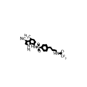 Cc1ccc(NS(=O)(=O)c2ccc(CCCNC(=O)C(F)(F)F)cc2)c2[nH]cc(C#N)c12